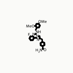 COc1ccc(CNc2nc3c(F)cccc3c3nc(Cc4ccc(C(N)=O)cc4)cn23)c(OC)c1